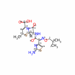 CC(C)CON=C(C(=O)NC1C(=O)N2C(C(=O)O)=CC(C)S[C@@H]12)c1csc(N)n1